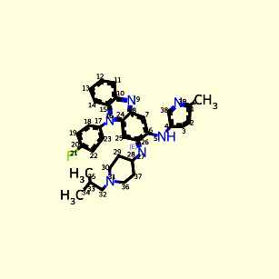 Cc1ccc(Nc2cc3nc4ccccc4n(-c4ccc(F)cc4)c-3c/c2=N\C2CCN(CC(C)C)CC2)cn1